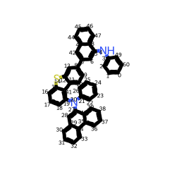 c1ccc(Nc2cc(-c3ccc4c(c3)sc3cccc(N(c5ccccc5)c5cc6ccccc6c6ccccc56)c34)cc3ccccc23)cc1